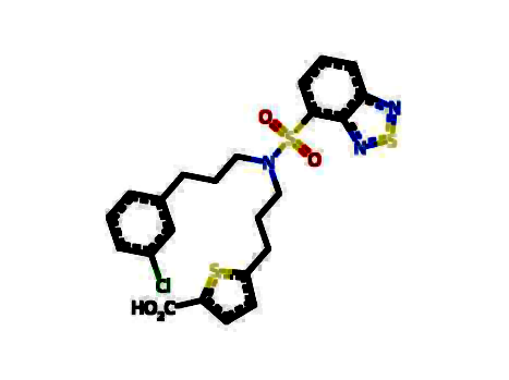 O=C(O)c1ccc(CCCN(CCCc2cccc(Cl)c2)S(=O)(=O)c2cccc3nsnc23)s1